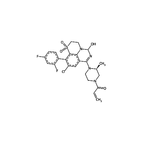 C=CC(=O)N1CCN(C2=NC(O)N3CCS(=O)(=O)c4c(-c5ccc(F)cc5F)c(Cl)cc2c43)[C@@H](C)C1